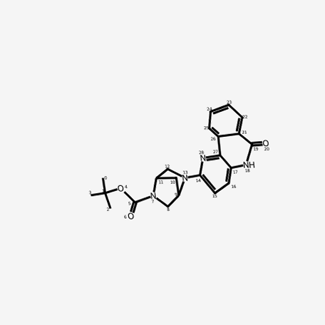 CC(C)(C)OC(=O)N1CC2CC1CN2c1ccc2[nH]c(=O)c3ccccc3c2n1